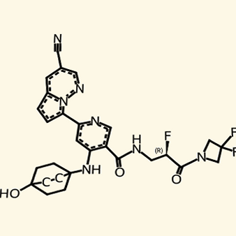 N#Cc1cnn2c(-c3cc(NC45CCC(O)(CC4)CC5)c(C(=O)NC[C@@H](F)C(=O)N4CC(F)(F)C4)cn3)ccc2c1